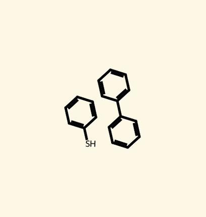 Sc1ccccc1.c1ccc(-c2ccccc2)cc1